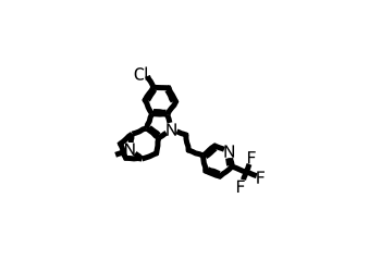 CN1C2CCC1c1c(n(CCc3ccc(C(F)(F)F)nc3)c3ccc(Cl)cc13)C2